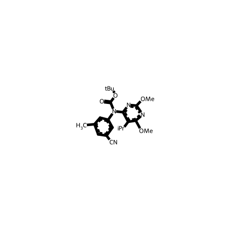 COc1nc(OC)c(C(C)C)c(N(C(=O)OC(C)(C)C)c2cc(C)cc(C#N)c2)n1